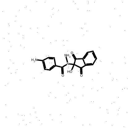 Nc1ccc(C(=O)N(N)C2(O)C(=O)c3ccccc3C2=O)cc1